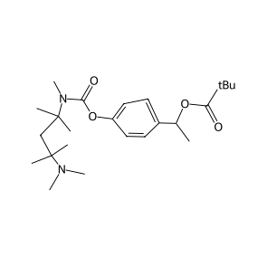 CC(OC(=O)C(C)(C)C)c1ccc(OC(=O)N(C)C(C)(C)CC(C)(C)N(C)C)cc1